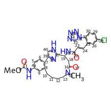 COC(=O)Nc1ccc2c(c1)CCCCN(C)C(=O)CC(NC(=O)C=Cc1cc(Cl)ccc1-n1cnnn1)c1nc-2c[nH]1